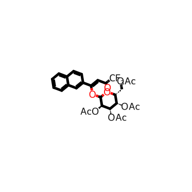 CC(=O)OC[C@H]1OC(O/C(=C\C(=O)C(F)(F)F)c2ccc3ccccc3c2)[C@H](OC(C)=O)[C@@H](OC(C)=O)[C@H]1OC(C)=O